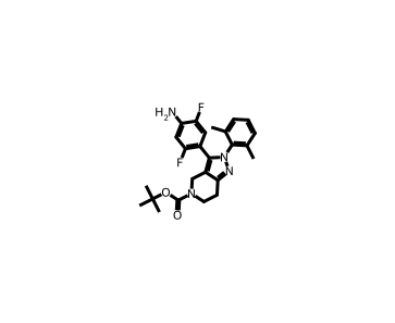 Cc1cccc(C)c1-n1nc2c(c1-c1cc(F)c(N)cc1F)CN(C(=O)OC(C)(C)C)CC2